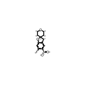 O=[N+]([O-])c1cc2c(cc1F)OC1(CCOCC1)C2